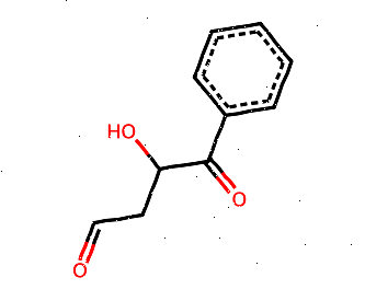 O=CCC(O)C(=O)c1ccccc1